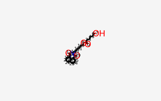 O=C(CCCCCO)OCCCCCCN1C(=O)c2cccc3cccc(c23)C1=O